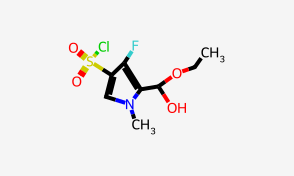 CCOC(O)c1c(F)c(S(=O)(=O)Cl)cn1C